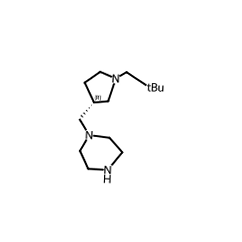 CC(C)(C)CN1CC[C@@H](CN2CCNCC2)C1